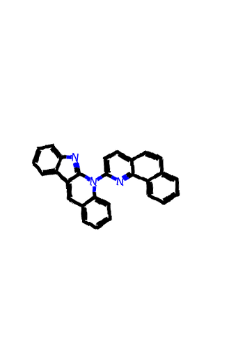 c1ccc2c(c1)ccc1ccc(-n3c4nc5ccccc5c-4cc4ccccc43)nc12